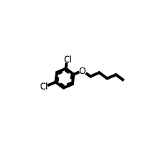 CCCCCOc1ccc(Cl)cc1Cl